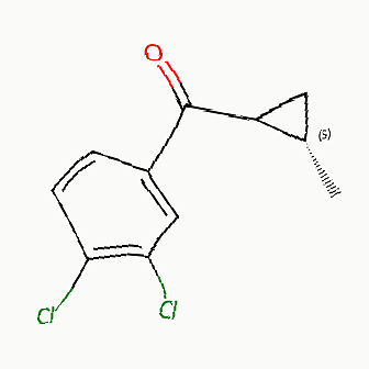 C[C@H]1CC1C(=O)c1ccc(Cl)c(Cl)c1